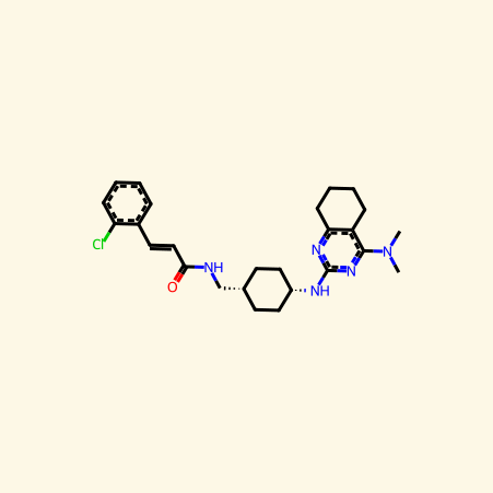 CN(C)c1nc(N[C@H]2CC[C@@H](CNC(=O)C=Cc3ccccc3Cl)CC2)nc2c1CCCC2